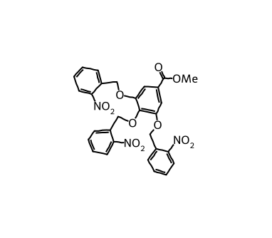 COC(=O)c1cc(OCc2ccccc2[N+](=O)[O-])c(OCc2ccccc2[N+](=O)[O-])c(OCc2ccccc2[N+](=O)[O-])c1